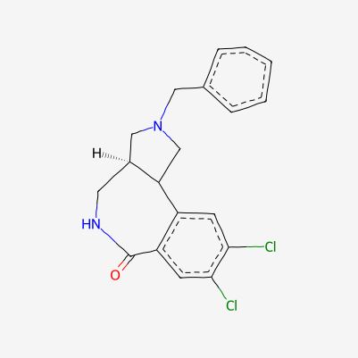 O=C1NC[C@H]2CN(Cc3ccccc3)CC2c2cc(Cl)c(Cl)cc21